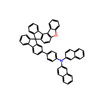 c1ccc2c(c1)-c1ccc(-c3ccc(N(c4ccc5ccccc5c4)c4ccc5ccccc5c4)cc3)cc1C21c2ccccc2-c2c1ccc1oc3ccccc3c21